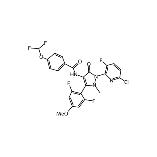 COc1cc(F)c(-c2c(NC(=O)c3ccc(OC(F)F)cc3)c(=O)n(-c3nc(Cl)ccc3F)n2C)c(F)c1